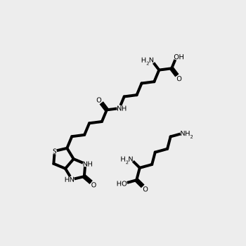 NC(CCCCNC(=O)CCCCC1SCC2NC(=O)NC21)C(=O)O.NCCCCC(N)C(=O)O